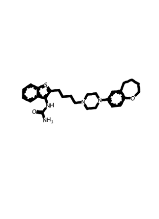 NC(=O)Nc1c(CCCCN2CCN(c3ccc4c(c3)CCCCO4)CC2)sc2ccccc12